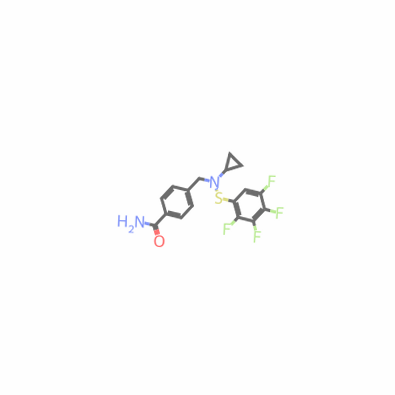 NC(=O)c1ccc(CN(Sc2cc(F)c(F)c(F)c2F)C2CC2)cc1